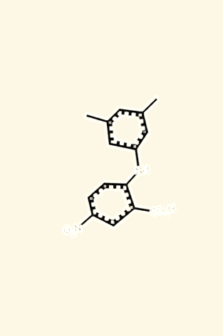 Cc1cc(C)cc(Nc2ccc([N+](=O)[O-])cc2C(=O)O)c1